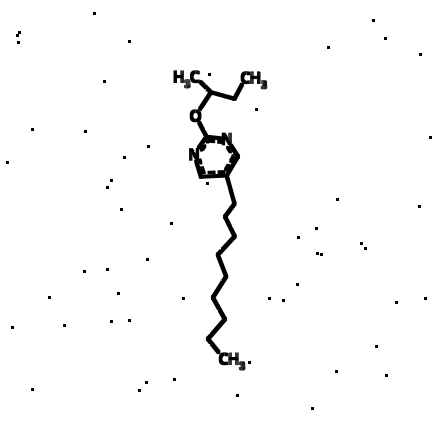 CCCCCCCCCc1cnc(OC(C)CC)nc1